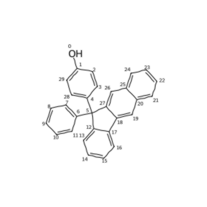 Oc1ccc(C2(c3ccccc3)c3ccccc3-c3cc4ccccc4cc32)cc1